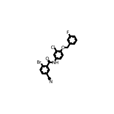 N#Cc1ccc(Br)c(C(=O)Nc2ccc(OCc3cccc(F)c3)c(Cl)c2)c1